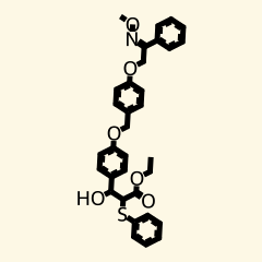 CCOC(=O)C(Sc1ccccc1)C(O)c1ccc(OCc2ccc(OCC(=NOC)c3ccccc3)cc2)cc1